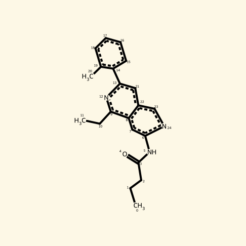 CCCC(=O)Nc1cc2c(CC)nc(-c3ccccc3C)cc2cn1